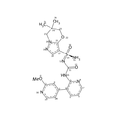 COc1cc(-c2cccnc2NC(=O)N=[S@@](N)(=O)c2cnn3c2OCC(C)(C)C3)ccn1